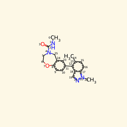 CNC(=O)N1CCOc2ccc(-c3c(C)ccc4c3cnn4C)cc2C1